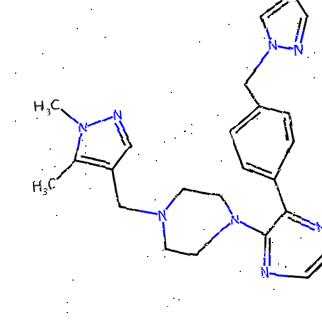 Cc1c(CN2CCN(c3nccnc3-c3ccc(Cn4cccn4)cc3)CC2)cnn1C